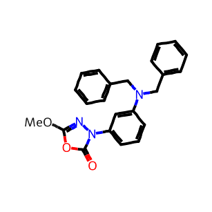 COc1nn(-c2cccc(N(Cc3ccccc3)Cc3ccccc3)c2)c(=O)o1